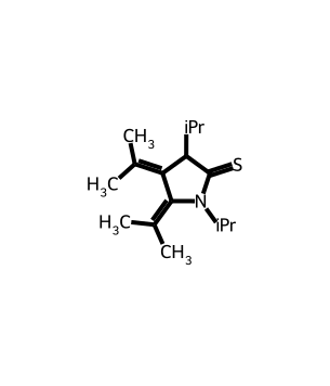 CC(C)=C1C(=C(C)C)N(C(C)C)C(=S)C1C(C)C